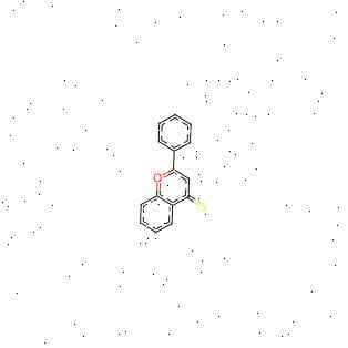 S=c1cc(-c2ccccc2)oc2ccccc12